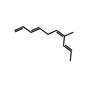 C=CC=CCC=C(C)C=CC